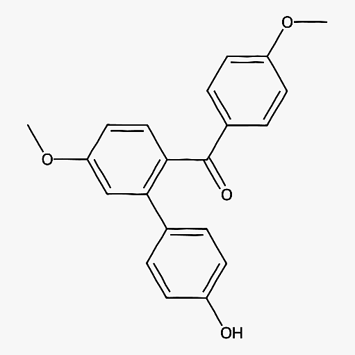 COc1ccc(C(=O)c2ccc(OC)cc2-c2ccc(O)cc2)cc1